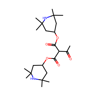 CC(=O)C(C(=O)OC1CC(C)(C)NC(C)(C)C1)C(=O)OC1CC(C)(C)NC(C)(C)C1